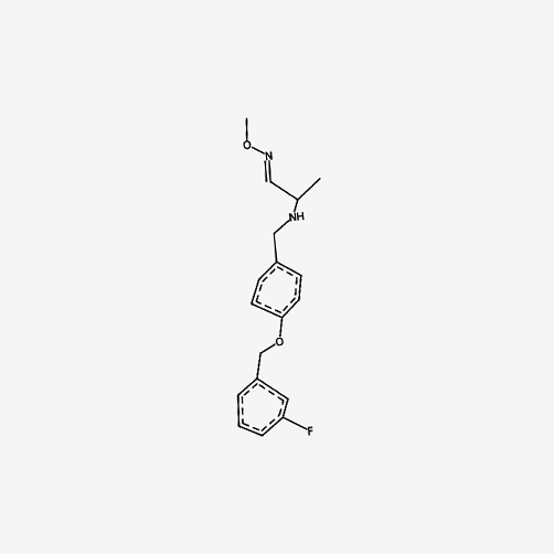 CON=CC(C)NCc1ccc(OCc2cccc(F)c2)cc1